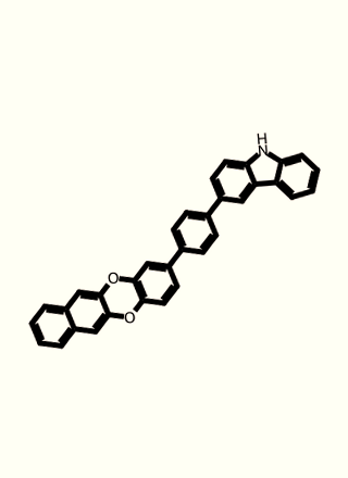 c1ccc2cc3c(cc2c1)Oc1ccc(-c2ccc(-c4ccc5[nH]c6ccccc6c5c4)cc2)cc1O3